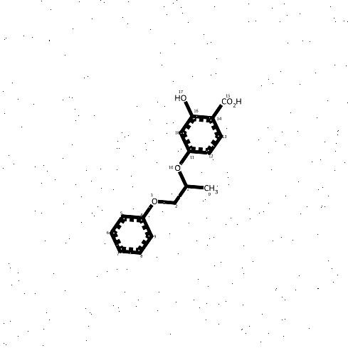 CC(COc1ccccc1)Oc1ccc(C(=O)O)c(O)c1